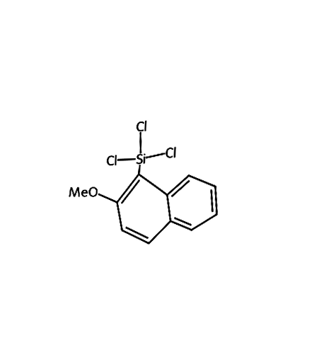 COc1ccc2ccccc2c1[Si](Cl)(Cl)Cl